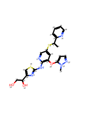 CC(Sc1cnc(Nc2nc(C(O)CO)cs2)c(Oc2ccnn2C)c1)c1ccccn1